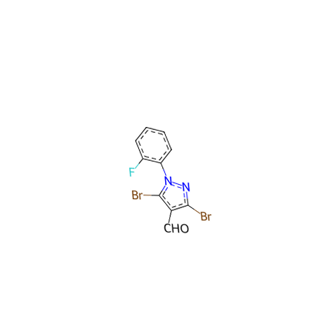 O=Cc1c(Br)nn(-c2ccccc2F)c1Br